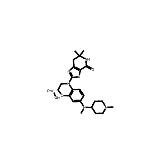 CN1CCC(N(C)c2ccc3c(c2)OCCN3c2nc3c(s2)C(=O)NC(C)(C)C3)CC1.O=CO